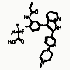 C=CC(=O)Nc1cc(-c2c(-c3ccc(N4CCN(C)CC4)nc3)[nH]c3ncccc23)ccc1C.O=C(O)C(F)(F)F